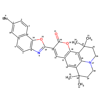 CC(C)(C)c1ccc2c(ccc3nc(-c4cc5cc6c7c(c5oc4=O)C(C)(C)CCN7CCC6(C)C)oc32)c1